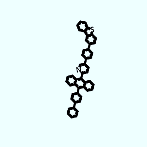 c1ccc(-c2ccc(-c3c4ccccc4c(-c4ccc(-c5ccc(-c6ccc7sc8ccccc8c7c6)cc5)cn4)c4ccccc34)cc2)cc1